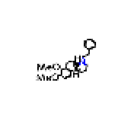 COc1ccc2c(c1OC)CC[C@@H]1[C@H]2CCCN1CCc1ccccc1